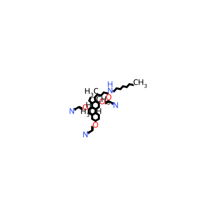 CCCCCCCCNC(=O)CC[C@@H](C)[C@H]1CC[C@H]2C3C(OC=CC#N)CC4C[C@H](OC=CC#N)CC[C@]4(C)[C@H]3C[C@H](OC=CC#N)[C@]12C